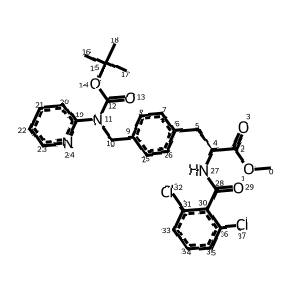 COC(=O)[C@H](Cc1ccc(CN(C(=O)OC(C)(C)C)c2ccccn2)cc1)NC(=O)c1c(Cl)cccc1Cl